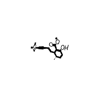 COC(=O)C1=C(O)CC[C@H](C)C1CCC#C[Si](C)(C)C